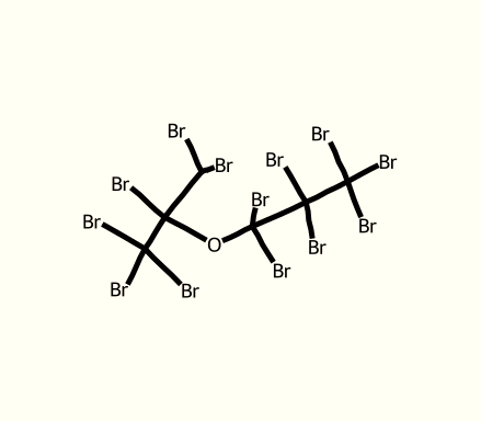 Br[C](Br)C(Br)(OC(Br)(Br)C(Br)(Br)C(Br)(Br)Br)C(Br)(Br)Br